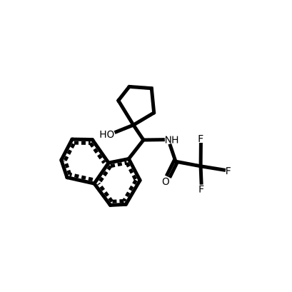 O=C(NC(c1cccc2ccccc12)C1(O)CCCC1)C(F)(F)F